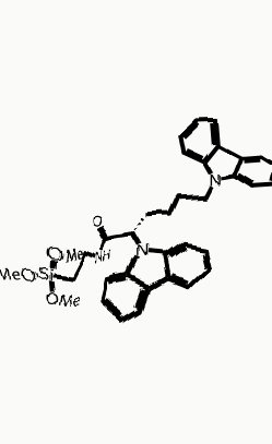 CO[Si](CCNC(=O)[C@H](CCCCn1c2ccccc2c2ccccc21)n1c2ccccc2c2ccccc21)(OC)OC